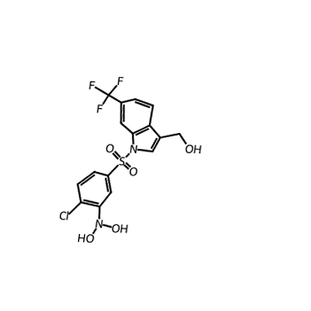 O=S(=O)(c1ccc(Cl)c(N(O)O)c1)n1cc(CO)c2ccc(C(F)(F)F)cc21